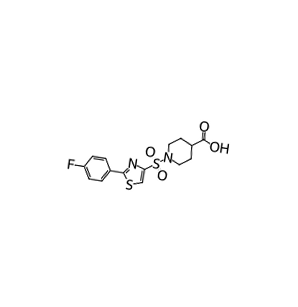 O=C(O)C1CCN(S(=O)(=O)c2csc(-c3ccc(F)cc3)n2)CC1